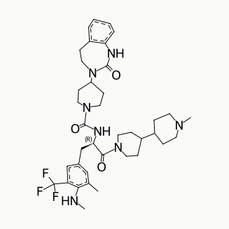 CNc1c(C)cc(C[C@@H](NC(=O)N2CCC(N3CCc4ccccc4NC3=O)CC2)C(=O)N2CCC(C3CCN(C)CC3)CC2)cc1C(F)(F)F